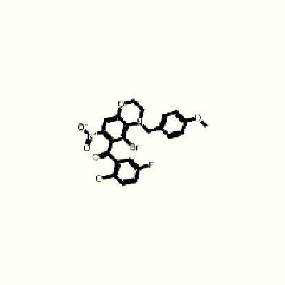 COc1ccc(CN2CCOc3cc([N+](=O)[O-])c(C(=O)c4cc(F)ccc4Cl)c(Br)c32)cc1